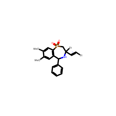 CC/C=C/C1(CC)CS(=O)(=O)c2cc(OC)c(OC)cc2C(c2ccccc2)N1